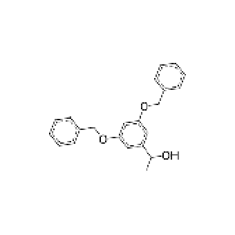 CC(O)c1cc(OCc2ccccc2)cc(OCc2ccccc2)c1